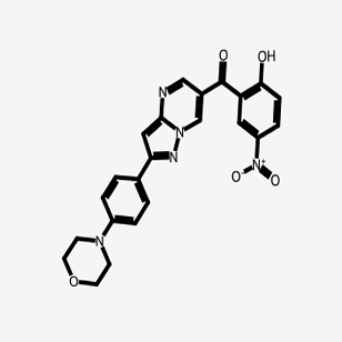 O=C(c1cnc2cc(-c3ccc(N4CCOCC4)cc3)nn2c1)c1cc([N+](=O)[O-])ccc1O